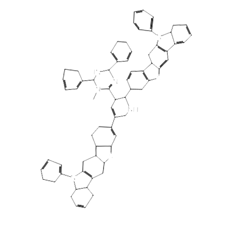 CN1C(C2C=C(C3=CC4SC5CC6=C(CC5C4CC3)N(C3=CC=CCC3)C3CC=CCC63)CNC2C2C=CC3=C(C2)SC2=CC4=C(CC23)N(c2ccccc2)C2CC=CC=C42)=NC(C2=CCCC=C2)NC1C1=CC=CCC1